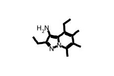 CCc1nn2c(C)c(C)c(C)c(CC)c2c1N